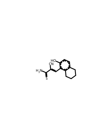 N#CC(=Cc1c(O)ccc2c1CCCC2)C(N)=S